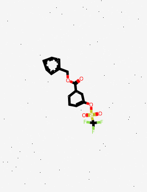 O=C(OCc1ccccc1)C1CCC=C(OS(=O)(=O)C(F)(F)F)C1